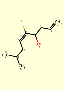 C=CCC(O)/C(F)=C\CC(C)C